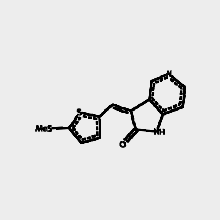 CSc1ccc(C=C2C(=O)Nc3ccncc32)s1